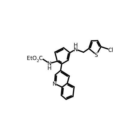 CCOC(=O)Nc1ccc(NCc2ccc(Cl)s2)cc1-c1cnc2ccccc2c1